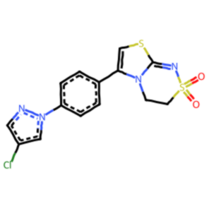 O=S1(=O)CCN2C(c3ccc(-n4cc(Cl)cn4)cc3)=CSC2=N1